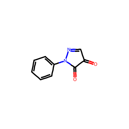 O=C1C=NN(c2ccccc2)C1=O